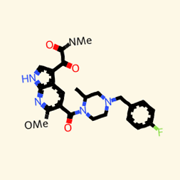 CNC(=O)C(=O)c1c[nH]c2nc(OC)c(C(=O)N3CCN(Cc4ccc(F)cc4)CC3C)cc12